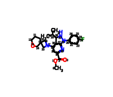 COC(=O)c1cc(N2CC3(CCCOC3)C2)c2c(n1)N(c1ccc(F)cc1)NC2C(C)C